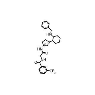 O=C(CNC(=O)c1cccc(C(F)(F)F)c1)N[C@@H]1CCN(C2CCCCC2NCc2ccccc2)C1